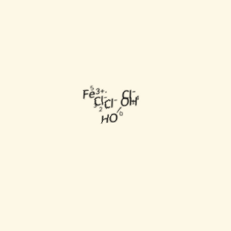 OO.[Cl-].[Cl-].[Cl-].[Fe+3]